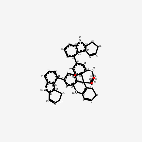 C1=CC2=C(CC1)C1(c3ccc(-c4cccc5sc6c(c45)CCC=C6)cc3O2)c2ccccc2Oc2cc(-c3cccc4sc5c(c34)C=CCC5)ccc21